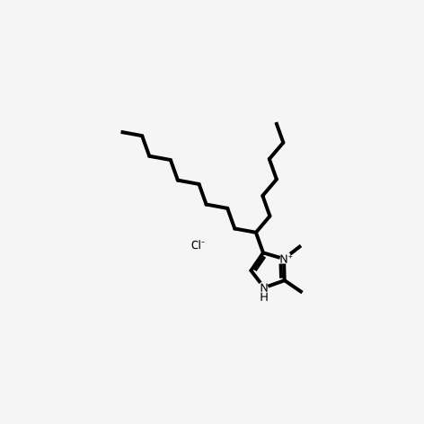 CCCCCCCCCC(CCCCCC)c1c[nH]c(C)[n+]1C.[Cl-]